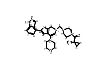 NC1(C(=O)N2CCN(CN3C=C(N4CCOCC4)c4cc(-c5cccc6[nH]ncc56)sc4C3)CC2)CC1